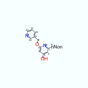 CCCCCCCCCc1cc(O)cc(OCc2cccnc2)n1